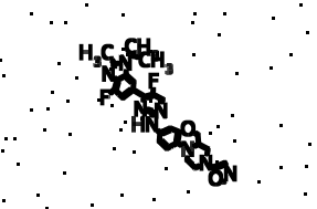 Cc1nc2c(F)cc(-c3nc(Nc4ccc5c(c4)OCC4CN(c6cnco6)CCN54)ncc3F)cc2n1C(C)C